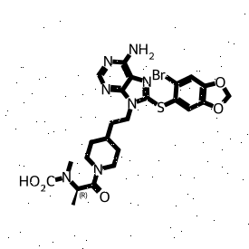 C[C@H](C(=O)N1CCC(CCn2c(Sc3cc4c(cc3Br)OCO4)nc3c(N)ncnc32)CC1)N(C)C(=O)O